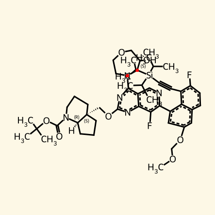 COCOc1cc(-c2ncc3c(N4CCOC[C@@](C)(O)C4)nc(OC[C@]45CCC[C@H]4N(C(=O)OC(C)(C)C)CCC5)nc3c2F)c2c(C#C[Si](C(C)C)(C(C)C)C(C)C)c(F)ccc2c1